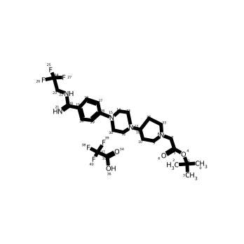 CC(C)(C)OC(=O)CN1CCC(N2CCN(c3ccc(C(=N)NCC(F)(F)F)cc3)CC2)CC1.O=C(O)C(F)(F)F